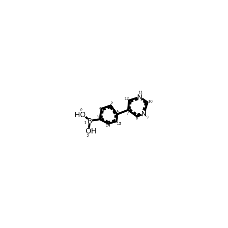 OB(O)c1ccc(-c2cncnc2)cc1